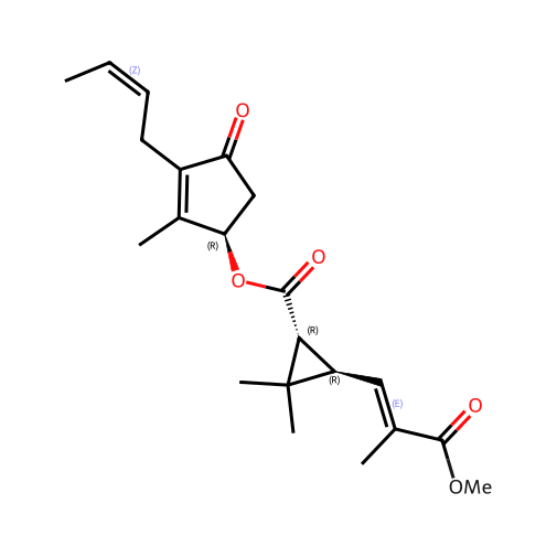 C/C=C\CC1=C(C)[C@H](OC(=O)[C@@H]2[C@@H](/C=C(\C)C(=O)OC)C2(C)C)CC1=O